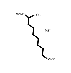 CCCCCCCCCCCCCCCCC(NC(C)=O)C(=O)[O-].[Na+]